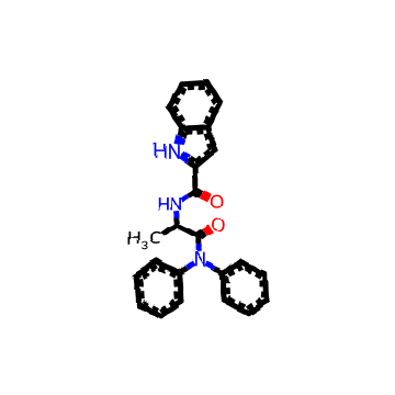 CC(NC(=O)c1cc2ccccc2[nH]1)C(=O)N(c1ccccc1)c1ccccc1